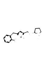 Fc1ccccc1Cc1cc(CO[C@H]2CCCN2)no1